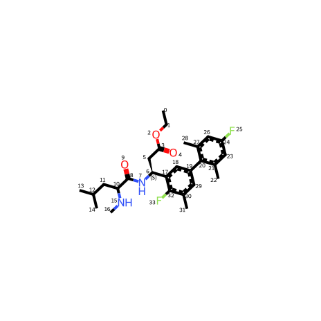 CCOC(=O)C[C@H](NC(=O)C(CC(C)C)NC)c1cc(-c2c(C)cc(F)cc2C)cc(C)c1F